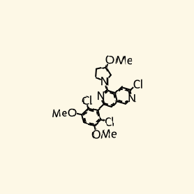 COc1cc(OC)c(Cl)c(-c2cc3cnc(Cl)cc3c(N3CCC(OC)C3)n2)c1Cl